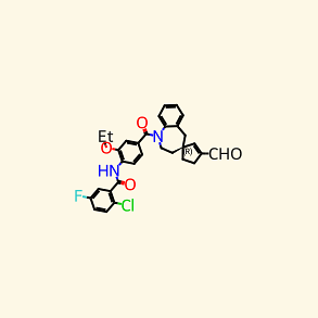 CCOc1cc(C(=O)N2CC[C@]3(C=C(C=O)CC3)Cc3ccccc32)ccc1NC(=O)c1cc(F)ccc1Cl